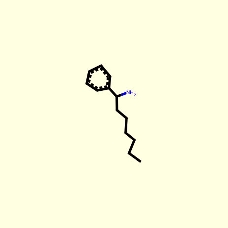 CCCC[CH]CC(N)c1ccccc1